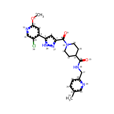 COc1cc(-c2cc(C(=O)N3CCC(C(=O)NCc4ccc(C)cn4)CC3)n[nH]2)c(Cl)cn1